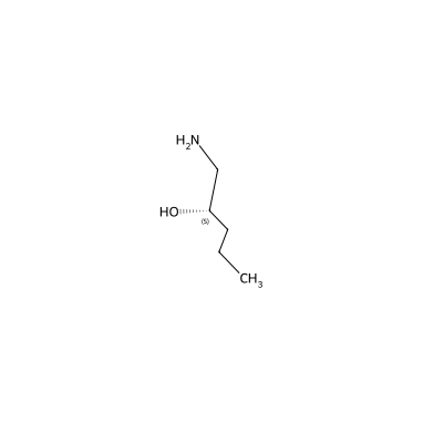 CCC[C@H](O)CN